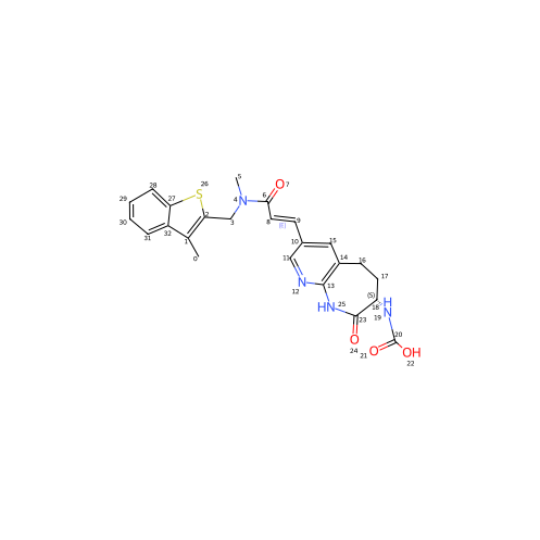 Cc1c(CN(C)C(=O)/C=C/c2cnc3c(c2)CC[C@H](NC(=O)O)C(=O)N3)sc2ccccc12